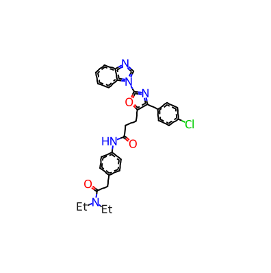 CCN(CC)C(=O)Cc1ccc(NC(=O)CCc2oc(-n3cnc4ccccc43)nc2-c2ccc(Cl)cc2)cc1